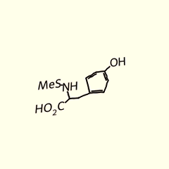 CSNC(Cc1ccc(O)cc1)C(=O)O